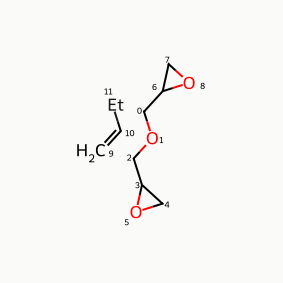 C(OCC1CO1)C1CO1.C=CCC